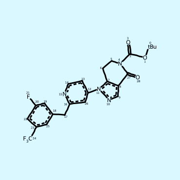 CC(C)(C)OC(=O)N1CCc2c(cnn2-c2ccnc(Cc3cc(F)cc(C(F)(F)F)c3)c2)C1=O